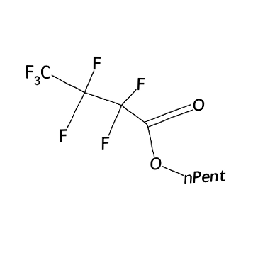 CCCCCOC(=O)C(F)(F)C(F)(F)C(F)(F)F